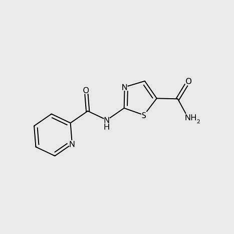 NC(=O)c1cnc(NC(=O)c2ccccn2)s1